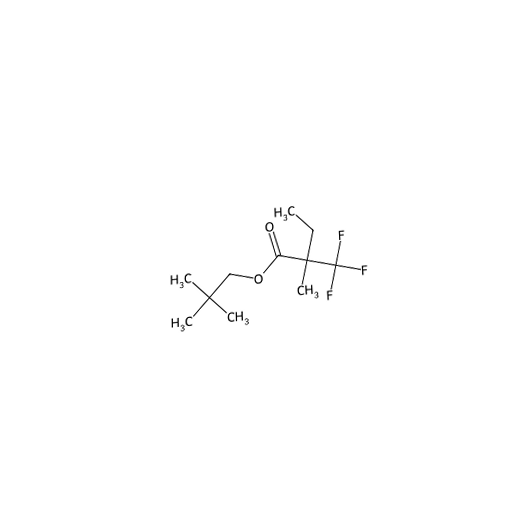 CCC(C)(C(=O)OCC(C)(C)C)C(F)(F)F